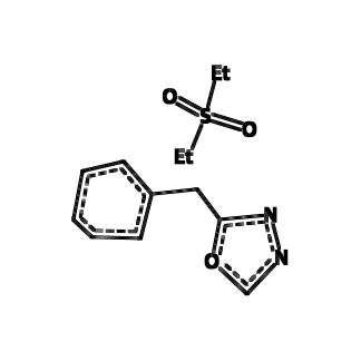 CCS(=O)(=O)CC.c1ccc(Cc2nnco2)cc1